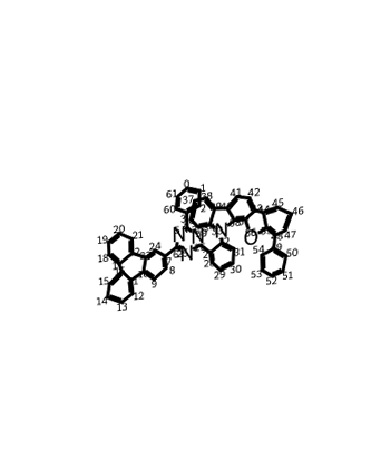 c1ccc(-c2nc(-c3ccc4c5ccccc5c5ccccc5c4c3)nc(-c3ccccc3-n3c4ccccc4c4ccc5c6cccc(-c7ccccc7)c6oc5c43)n2)cc1